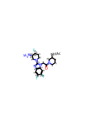 CC(=O)NC1CCCN(C(=O)Cn2c(N3CC[C@@H](F)[C@H](N)C3)nc3cc(F)c(F)cc32)C1